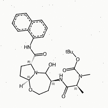 C[C@@H](C(=O)N[C@H]1CCO[C@H]2CC[C@H](C(=O)Nc3cccc4ccccc34)N2C1O)N(C)C(=O)OC(C)(C)C